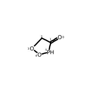 O=C1COOP1